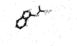 CC(Nc1scc2ccccc12)C(=O)O